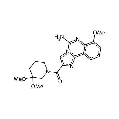 COc1cccc2c1nc(N)n1cc(C(=O)N3CCCC(OC)(OC)C3)nc21